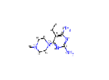 CCc1c(N)nc(N)nc1N1CCN(C)CC1